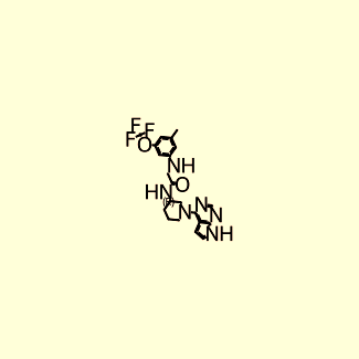 Cc1cc(NCC(=O)N[C@@H]2CCCN(c3ncnc4[nH]ccc34)C2)cc(OC(F)(F)F)c1